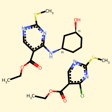 CCOC(=O)c1cnc(SC)nc1Cl.CCOC(=O)c1cnc(SC)nc1N[C@@H]1CCC[C@H](O)C1